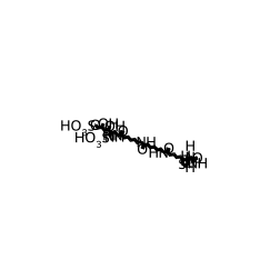 O=C(CCCCCNC(=O)CCCCC1SC[C@@H]2NC(=O)N[C@H]12)NCCCCCC(=O)NCC(NS(=O)(=O)O)C(O)CC(O)COS(=O)(=O)O